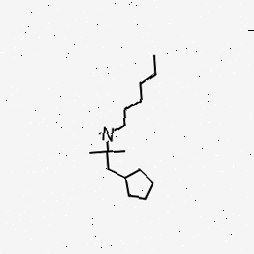 CCCCCC[N]C(C)(C)CC1CCCC1